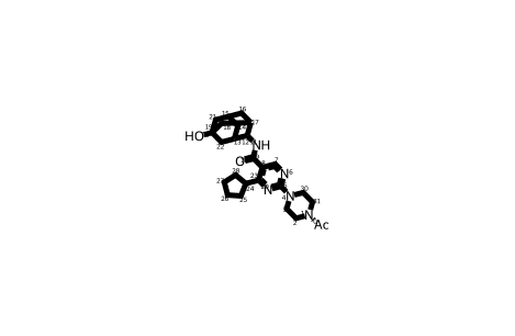 CC(=O)N1CCN(c2ncc(C(=O)NC3C4CC5CC3CC(O)(C5)C4)c(C3CCCC3)n2)CC1